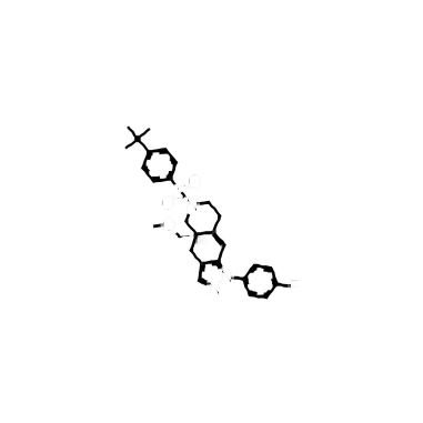 COC[C@]12Cc3cnn(-c4ccc(F)cc4)c3C=C1CCN(S(=O)(=O)c1ccc(C(C)(C)C)cc1)C2